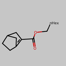 CCCCCCCOC(=O)C1=C2CCC(C2)C1